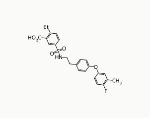 CCc1ccc(S(=O)(=O)NCCc2ccc(Oc3ccc(F)c(C)c3)cc2)cc1C(=O)O